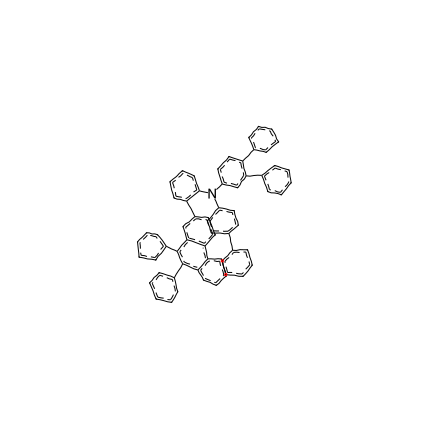 c1ccc(-c2ccc(N(c3ccc(-c4ccccc4)c(-c4ccccc4)c3)c3ccccc3-c3ccc4c(c3)c(-c3ccccc3)c(-c3ccccc3)c3ccccc34)cc2)cc1